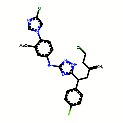 C=C(CCCl)CC(c1ccc(F)cc1)c1nc(Nc2ccc(-n3cnc(Cl)c3)c(OC)c2)n[nH]1